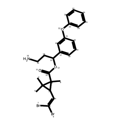 CC1(C)C(C=C(Br)Br)C1(C)C(=O)OC(CCN)c1cccc(Oc2ccccc2)c1